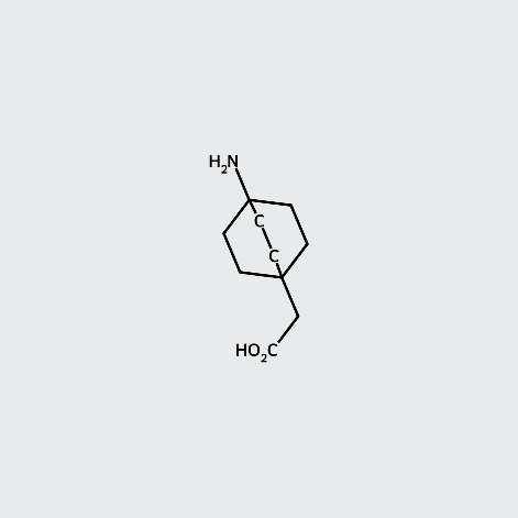 NC12CCC(CC(=O)O)(CC1)CC2